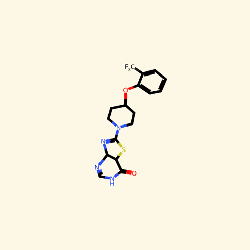 O=C1NC=NC2N=C(N3CCC(Oc4ccccc4C(F)(F)F)CC3)SC12